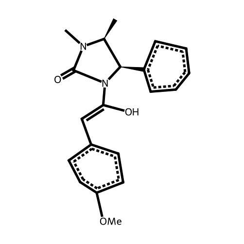 COc1ccc(/C=C(\O)N2C(=O)N(C)[C@@H](C)[C@H]2c2ccccc2)cc1